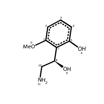 COc1cccc(O)c1[C@@H](O)CN